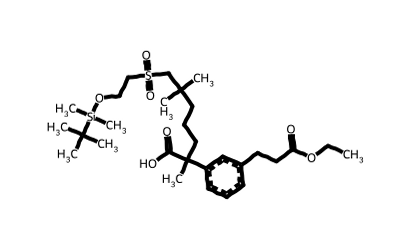 CCOC(=O)CCc1cccc(C(C)(CCCC(C)(C)CS(=O)(=O)CCO[Si](C)(C)C(C)(C)C)C(=O)O)c1